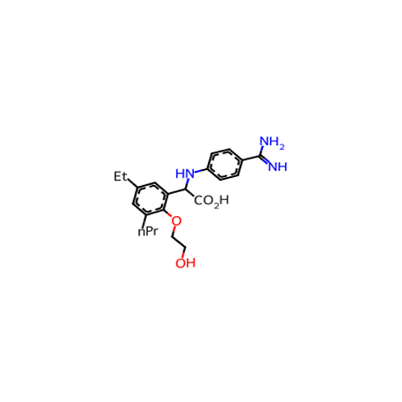 CCCc1cc(CC)cc(C(Nc2ccc(C(=N)N)cc2)C(=O)O)c1OCCO